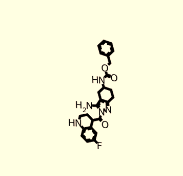 Nc1c2c(nn1C(=O)C1CCNc3ccc(F)cc31)CCC(NC(=O)OCc1ccccc1)C2